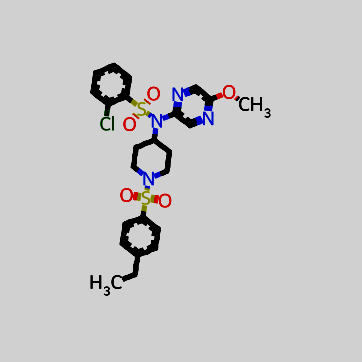 CCc1ccc(S(=O)(=O)N2CCC(N(c3cnc(OC)cn3)S(=O)(=O)c3ccccc3Cl)CC2)cc1